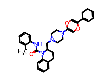 Cc1ccccc1NC(=O)N1c2ccccc2CCC1CN1CCN(C2=COC(C3=CC=CCC3)=CO2)CC1